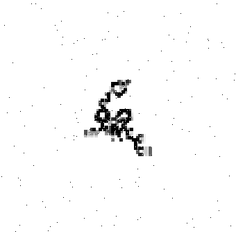 CCCC(NC(=O)C(C#N)C(OCC(O)CO)c1ccccn1)c1ccc(OCCN2CCN(C)CC2)cc1